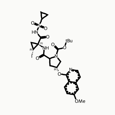 COc1ccc2c(O[C@@H]3CC(C(=O)N[C@]4(C(=O)NS(=O)(=O)C5CC5)C[C@H]4I)N(C(=O)OC(C)(C)C)C3)nccc2c1